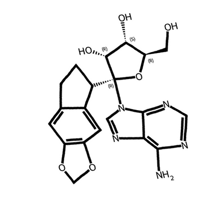 Nc1ncnc2c1ncn2[C@]1(C2CCc3cc4c(cc32)OCO4)O[C@H](CO)[C@@H](O)[C@H]1O